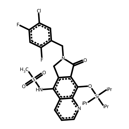 CC(C)[Si](Oc1c2c(c(NS(C)(=O)=O)c3cccnc13)CN(Cc1cc(Cl)c(F)cc1F)C2=O)(C(C)C)C(C)C